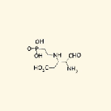 N[C@@H](C=O)C(CC(=O)O)NCCP(=O)(O)O